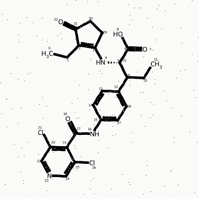 CCC1=C(N[C@H](C(=O)O)C(CC)c2ccc(NC(=O)c3c(Cl)cncc3Cl)cc2)CCC1=O